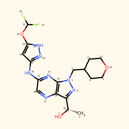 C[C@H](O)c1nn(CC2CCOCC2)c2nc(Nc3cc(OC(F)F)[nH]n3)cnc12